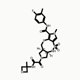 Cc1cc(NC(=O)c2c3c(cn2C)S(=O)(=O)N[C@H]2CN(C(=O)C(=O)NC4(C)COC4)C[C@H]2CS3)ccc1F